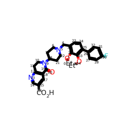 CCOc1c(CN2CCC(N3CCc4ncc(C(=O)O)cc4C3=O)CC2)ccc(-c2ccc(F)cc2)c1OCC